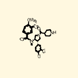 COc1ccc(C(=O)N(C)[C@H]2CN(C(=O)C3CCNCC3)C[C@@H]2c2ccc(Cl)c(Cl)c2)cc1C(F)(F)F